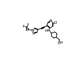 OCC1CCC(Nc2cc(Cl)ncc2C#Cc2cnn([C@H]3CC3(F)F)c2)CC1